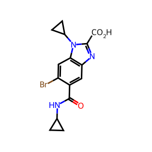 O=C(NC1CC1)c1cc2nc(C(=O)O)n(C3CC3)c2cc1Br